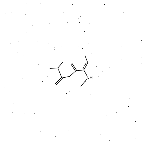 C=C(CC(=C)C(C)C)/C(=C\C)NC